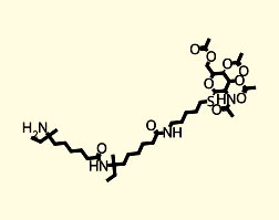 CCC(C)(N)CCCCCC(=O)NC(C)(CC)CCCCCC(=O)NCCCCCS[C@@H]1OC(COC(C)=O)[C@H](OC(C)=O)C(OC(C)=O)C1NC(C)=O